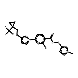 Cn1cc(SNC(=O)c2ccc(-n3ccc(OCC4(C(F)(F)F)CC4)n3)nc2Cl)cn1